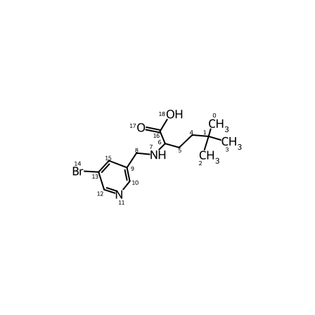 CC(C)(C)CCC(NCc1cncc(Br)c1)C(=O)O